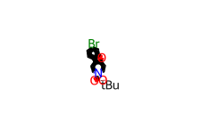 CC(C)(C)OC(=O)N1CCc2oc3cc(Br)ccc3c2CC1